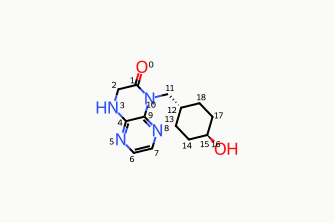 O=C1CNc2nccnc2N1C[C@H]1CC[C@H](O)CC1